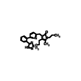 CCCc1c(C)n(CCC)c(=O)n1Cc1ccc(-c2ccccc2-c2nnn[nH]2)cn1